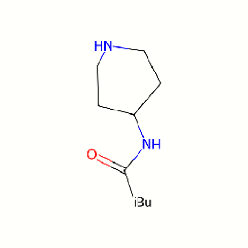 CCC(C)C(=O)NC1CCNCC1